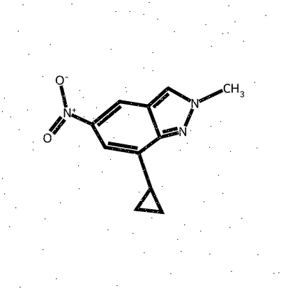 Cn1cc2cc([N+](=O)[O-])cc(C3CC3)c2n1